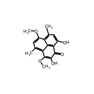 COC1=C(O)C(=O)c2c(O)cc(C)c3c(OC)cc(C)c1c23